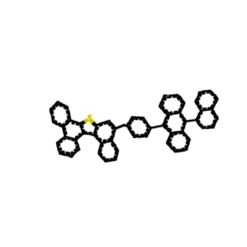 c1ccc2c(-c3c4ccccc4c(-c4ccc(-c5cc6sc7c8ccccc8c8ccccc8c7c6c6ccccc56)cc4)c4ccccc34)cccc2c1